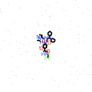 COc1cc(NC(=O)[C@@H](NC(=O)c2ccnn2C(C)C)C(C2CCCCC2)C2CCCCC2)c(F)cc1C(C)C(=O)NC(F)C(F)F